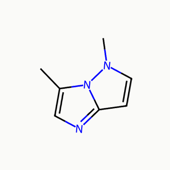 Cc1cnc2ccn(C)n12